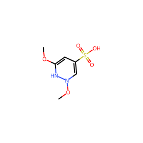 COC1=CC(S(=O)(=O)O)=CN(OC)N1